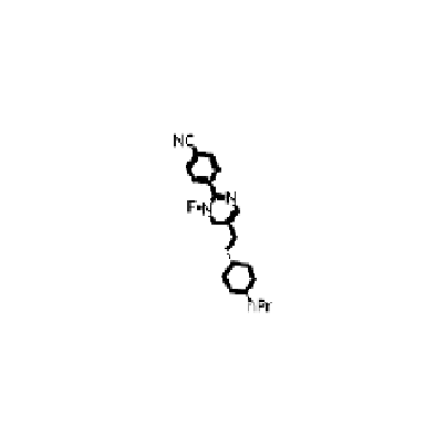 CCC[C@H]1CC[C@H](CCC2=CN=C(c3ccc(C#N)cc3)N(F)C2)CC1